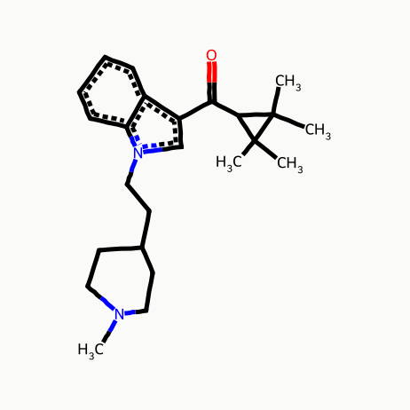 CN1CCC(CCn2cc(C(=O)C3C(C)(C)C3(C)C)c3ccccc32)CC1